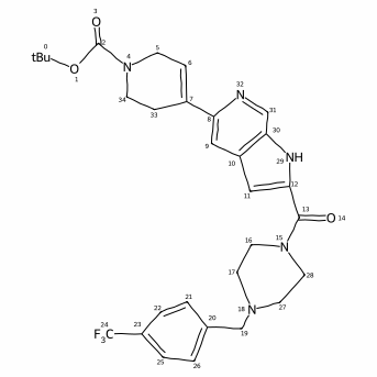 CC(C)(C)OC(=O)N1CC=C(c2cc3cc(C(=O)N4CCN(Cc5ccc(C(F)(F)F)cc5)CC4)[nH]c3cn2)CC1